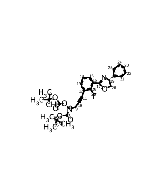 CC(C)(C)OC(=O)ON(CC#Cc1cccc(C2=N[C@H](c3ccccc3)CO2)c1F)C(=O)OC(C)(C)C